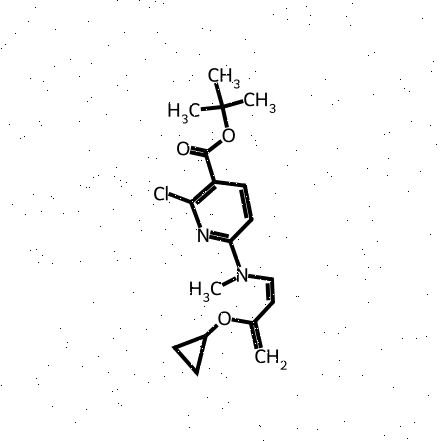 C=C(/C=C\N(C)c1ccc(C(=O)OC(C)(C)C)c(Cl)n1)OC1CC1